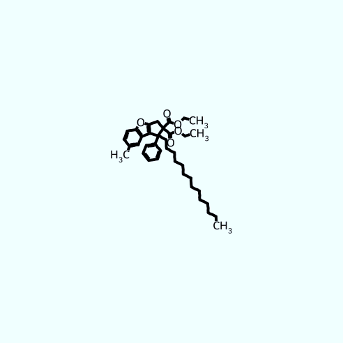 CCCCCCCCCCCCCCC1(c2ccccc2)c2c(oc3ccc(C)cc23)CC1(C(=O)OCC)C(=O)OCC